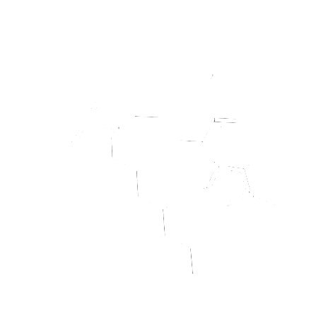 CCCCCCCCOS(=O)(=O)[O-].CCCOC(C(=O)OCC)[n+]1ccn(C)c1